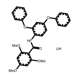 COc1cc(OC)c(C(=O)Pc2ccc(Oc3ccccc3)cc2Oc2ccccc2)c(OC)c1.[LiH]